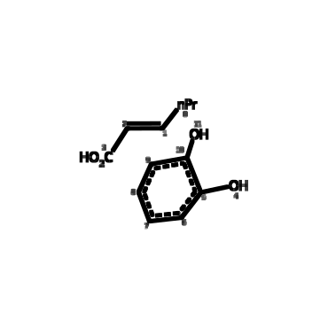 CCCC=CC(=O)O.Oc1ccccc1O